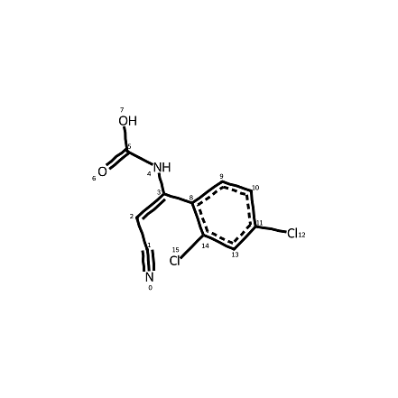 N#C/C=C(/NC(=O)O)c1ccc(Cl)cc1Cl